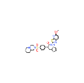 COc1ccc2nc(NC(=O)C(CC3CCCC3)c3ccc(S(=O)(=O)N4CCN5CCCCC5C4)cc3)sc2n1